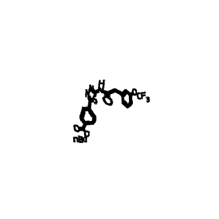 CCCCOC(=O)c1ccc(-c2nnc(NC(=O)Cc3cccc(OC(F)(F)F)c3)s2)cc1